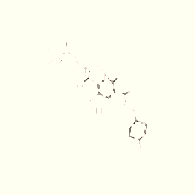 CN(CCN1CCn2c(c(CO)cc(C(=O)NCc3ccc(Cl)cc3)c2=O)C1=O)S(C)(=O)=O